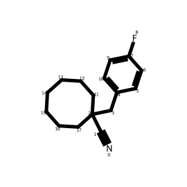 N#CC1(Cc2ccc(F)cc2)CCCCCCC1